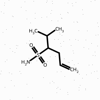 C=CCC(C(C)C)S(N)(=O)=O